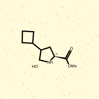 COC(=O)[C@@H]1CC(C2CCC2)CN1.Cl